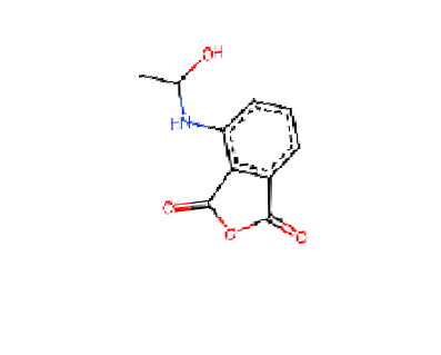 CC(O)Nc1cccc2c1C(=O)OC2=O